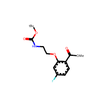 COC(=O)c1ccc(F)cc1OCCNC(=O)OC(C)(C)C